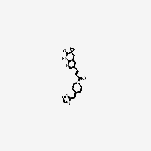 O=C(C=Cc1cnc2c(c1)CC1(CC1)C(=O)N2)N1CCC(=Cc2ncsn2)CC1